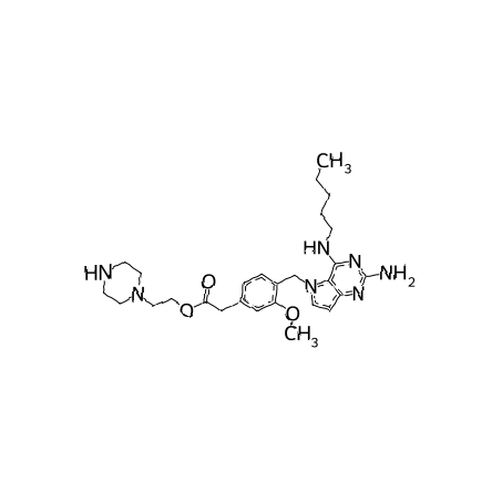 CCCCCNc1nc(N)nc2ccn(Cc3ccc(CC(=O)OCCN4CCNCC4)cc3OC)c12